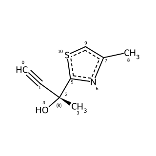 C#C[C@@](C)(O)c1nc(C)cs1